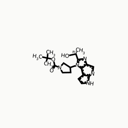 C[C@@H](O)c1nc2cnc3[nH]ccc3c2n1C1CCN(C(=O)OC(C)(C)C)C1